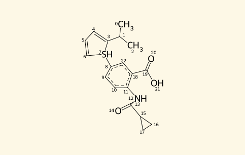 CC(C)C1=CC=C[SH]1c1ccc(NC(=O)C2CC2)c(C(=O)O)c1